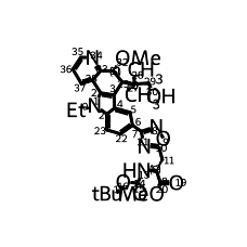 CCn1c2c(c3cc(-c4noc(C[C@H](NC(=O)OC(C)(C)C)C(=O)OC)n4)ccc31)C(C(C)(C)CO)[C@H](OC)c1ncccc1-2